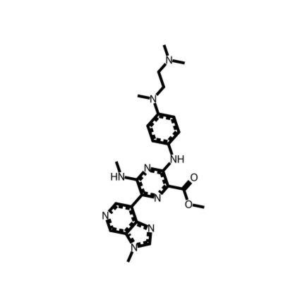 CNc1nc(Nc2ccc(N(C)CCN(C)C)cc2)c(C(=O)OC)nc1-c1cncc2c1ncn2C